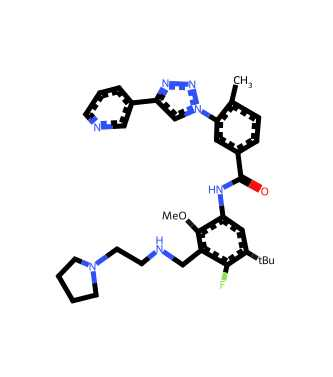 COc1c(NC(=O)c2ccc(C)c(-n3cc(-c4cccnc4)nn3)c2)cc(C(C)(C)C)c(F)c1CNCCN1CCCC1